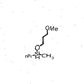 CCC[SiH](C)OCCCOC